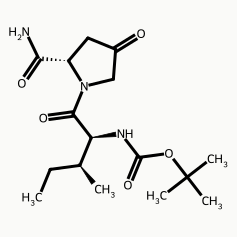 CC[C@H](C)[C@H](NC(=O)OC(C)(C)C)C(=O)N1CC(=O)C[C@H]1C(N)=O